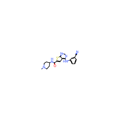 CN1CCC(NC(=O)c2cc3c(Nc4cccc(C#N)c4)ncnc3s2)CC1